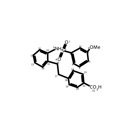 COc1cccc(S(=O)(=O)Nc2ccccc2CCc2ccc(C(=O)O)cc2)c1